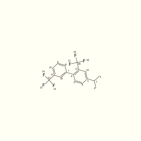 CC(C)c1ccc(-c2cccc(C(F)(F)F)c2)c(C(F)(F)F)c1